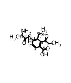 CCC(=O)c1c(C(=O)O)ccc(NC(=O)[C@H](C)N)c1CC